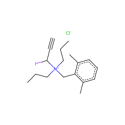 C#CC(I)[N+](CCC)(CCC)Cc1c(C)cccc1C.[Cl-]